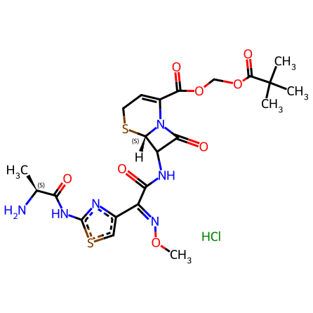 CON=C(C(=O)NC1C(=O)N2C(C(=O)OCOC(=O)C(C)(C)C)=CCS[C@@H]12)c1csc(NC(=O)[C@H](C)N)n1.Cl